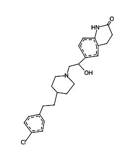 O=C1CCc2cc(C(O)CN3CCC(CCc4ccc(Cl)cc4)CC3)ccc2N1